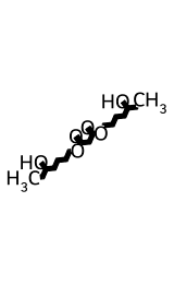 CCC(O)CCCCOC(=O)CC(=O)OCCCCC(O)CC